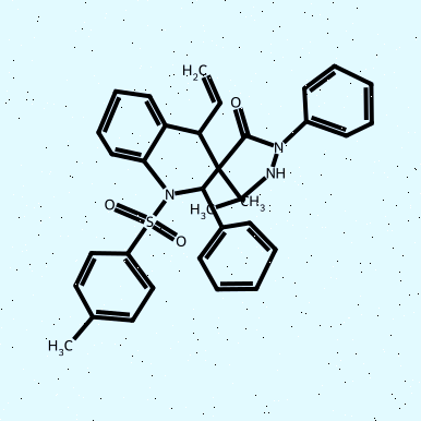 C=CC1c2ccccc2N(S(=O)(=O)c2ccc(C)cc2)C(c2ccccc2)C12C(=O)N(c1ccccc1)NC2(C)C